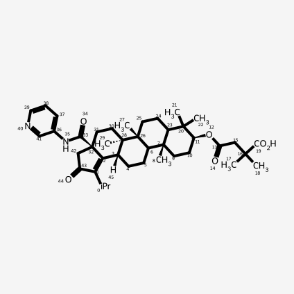 CC(C)C1=C2[C@H]3CCC4[C@@]5(C)CC[C@H](OC(=O)CC(C)(C)C(=O)O)C(C)(C)C5CC[C@@]4(C)[C@]3(C)CC[C@@]2(C(=O)Nc2cccnc2)CC1=O